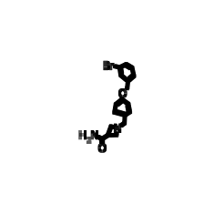 NC(=O)C1CN(Cc2ccc(OCc3cccc(Br)c3)cc2)C1